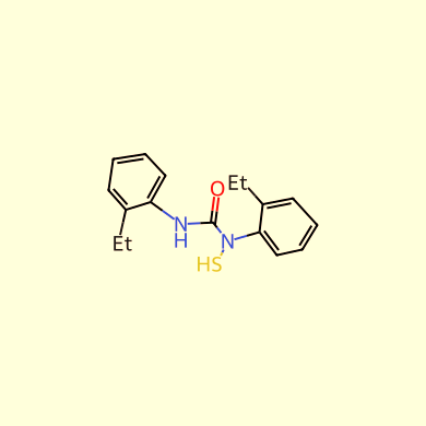 CCc1ccccc1NC(=O)N(S)c1ccccc1CC